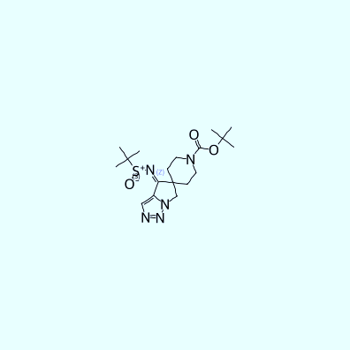 CC(C)(C)OC(=O)N1CCC2(CC1)Cn1nncc1/C2=N\[S@+]([O-])C(C)(C)C